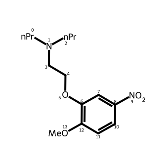 CCCN(CCC)CCOc1cc([N+](=O)[O-])ccc1OC